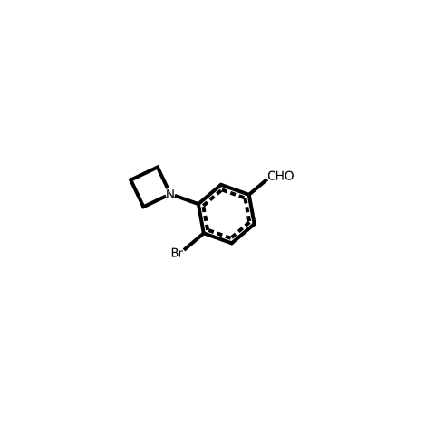 O=Cc1ccc(Br)c(N2CCC2)c1